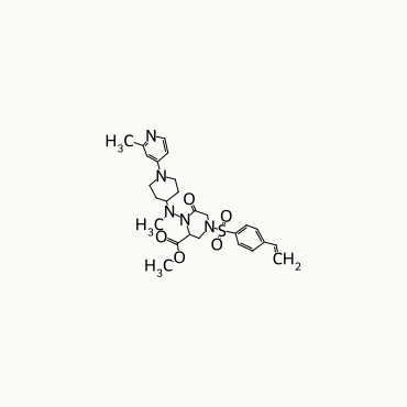 C=Cc1ccc(S(=O)(=O)N2CC(=O)N(N(C)C3CCN(c4ccnc(C)c4)CC3)C(C(=O)OC)C2)cc1